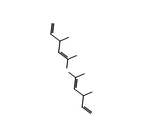 C=CC(F)C=C(F)OC(F)=CC(F)C=C